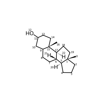 C[C@@]12CCC[C@H]1[C@@H]1CCC3CC(O)CC[C@]3(C)[C@H]1CC2